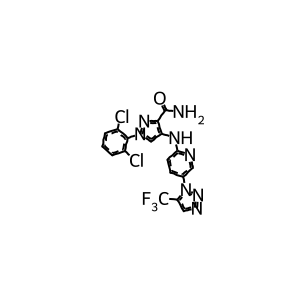 NC(=O)c1nn(-c2c(Cl)cccc2Cl)cc1Nc1ccc(-n2nncc2C(F)(F)F)cn1